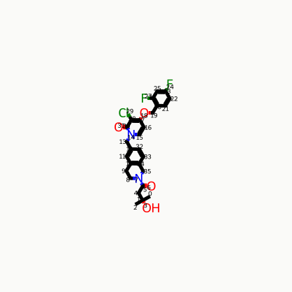 CC(C)(O)CC(=O)N1CCc2cc(Cn3ccc(OCc4ccc(F)cc4F)c(Cl)c3=O)ccc2C1